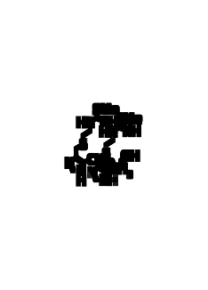 CSC(=N)NCCSCc1nc[nH]c1C.CSC(=N)NCCSCc1nc[nH]c1C.O=S(=O)(O)O